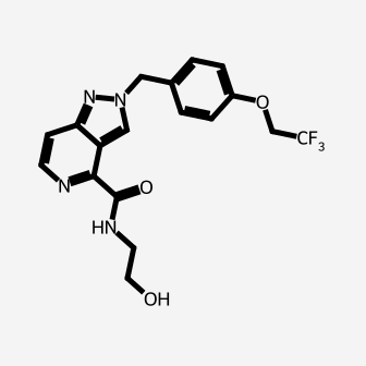 O=C(NCCO)c1nccc2nn(Cc3ccc(OCC(F)(F)F)cc3)cc12